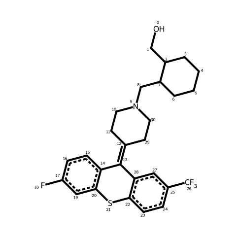 OCC1CCCCC1CN1CCC(=C2c3ccc(F)cc3Sc3ccc(C(F)(F)F)cc32)CC1